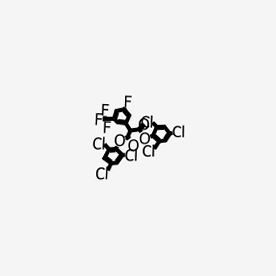 O=C(Oc1c(Cl)cc(Cl)cc1Cl)C(C(=O)Oc1c(Cl)cc(Cl)cc1Cl)c1cc(F)cc(C(F)(F)F)c1